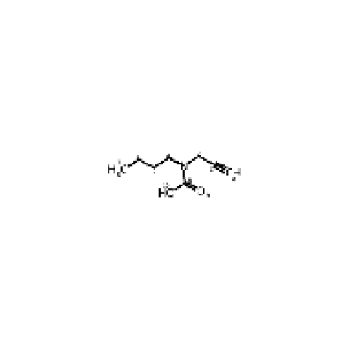 C#CCN(CCCC)C(=O)O